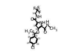 CNC(=O)c1[nH]c(C(=O)NCC(F)(F)F)cc1O[C@H](C)c1ccc(Cl)cc1